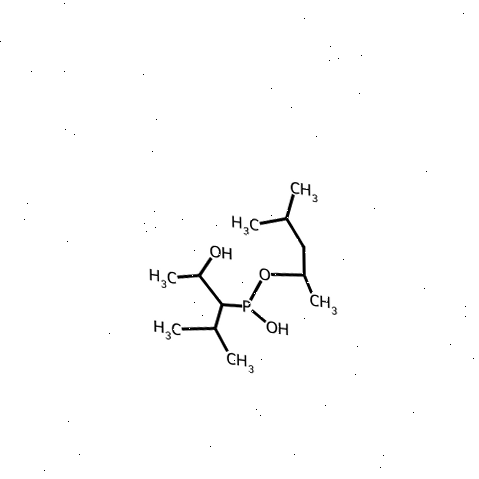 CC(C)CC(C)OP(O)C(C(C)C)C(C)O